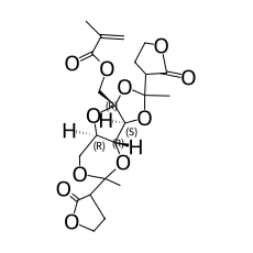 C=C(C)C(=O)OC[C@]12O[C@@H]3COC(C)(C4CCOC4=O)O[C@H]3[C@@H]1OC(C)(C1CCOC1=O)O2